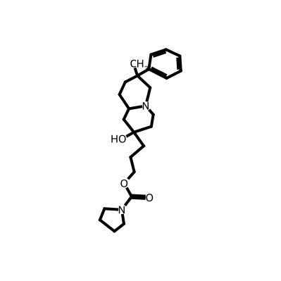 CC1(c2ccccc2)CCC2CC(O)(CCCOC(=O)N3CCCC3)CCN2C1